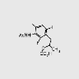 CC(=O)Nc1c(I)cc(I)c(CC(C)OC(=O)O)c1I